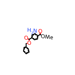 COC(=O)c1ccc(C(=O)OCc2ccccc2)cc1N